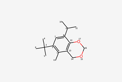 Cc1c(C(C)(C)C)cc(C(C)C)c2c1COCO2